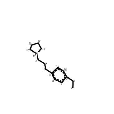 CCc1ccc(CCCN2CCCC2)cc1